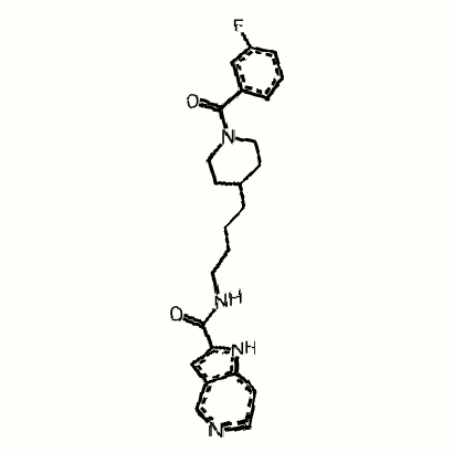 O=C(NCCCCC1CCN(C(=O)c2cccc(F)c2)CC1)c1cc2cnccc2[nH]1